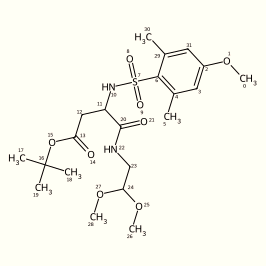 COc1cc(C)c(S(=O)(=O)NC(CC(=O)OC(C)(C)C)C(=O)NCC(OC)OC)c(C)c1